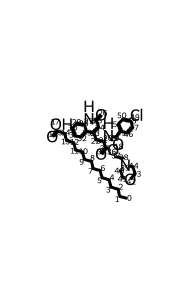 CCCCCCCCCCCCCCCC(=O)O.O=C(NC(Cc1cc(=O)[nH]c2ccccc12)C(=O)OCCN1CCOCC1)c1ccc(Cl)cc1